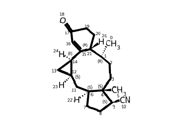 C[C@@H]1CC[C@@]2(C)[C@@H](CC[C@@H]2C#N)C[C@H]2C[C@H]2C2=CC(=O)CC[C@@H]21